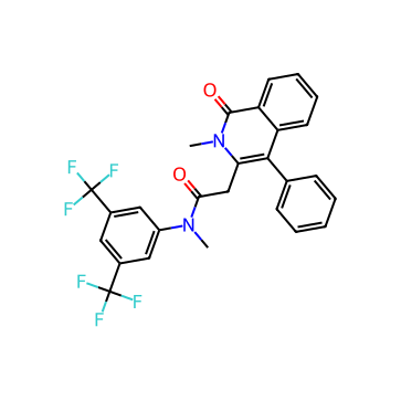 CN(C(=O)Cc1c(-c2ccccc2)c2ccccc2c(=O)n1C)c1cc(C(F)(F)F)cc(C(F)(F)F)c1